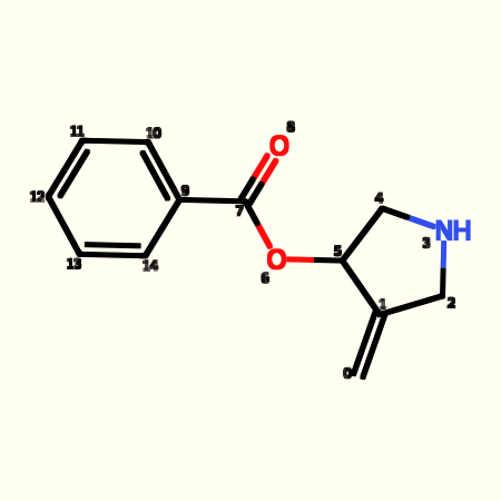 C=C1CNCC1OC(=O)c1ccccc1